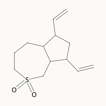 C=CC1CC(C=C)C2CS(=O)(=O)CCCC12